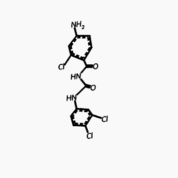 Nc1ccc(C(=O)NC(=O)Nc2ccc(Cl)c(Cl)c2)c(Cl)c1